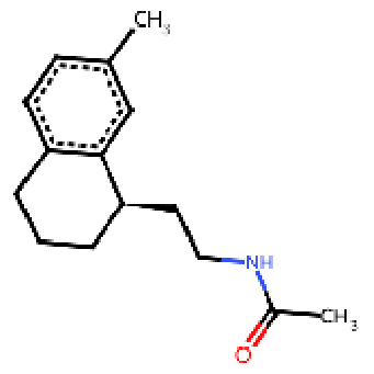 CC(=O)NCC[C@H]1CCCc2ccc(C)cc21